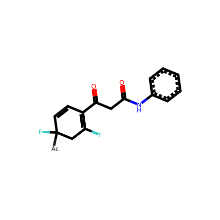 CC(=O)C1(F)C=CC(C(=O)CC(=O)Nc2ccccc2)=C(F)C1